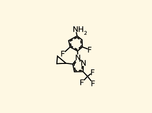 Nc1cc(F)c(-n2nc(C(F)(F)F)cc2C2CC2)c(F)c1